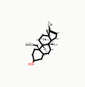 COC[C@]12CCC(O)CC1CC[C@@H]1[C@H]2CC[C@]2(C)C(C#N)=CC[C@@H]12